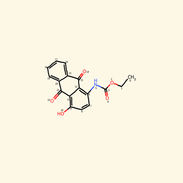 CCOC(=O)Nc1ccc(O)c2c1C(=O)c1ccccc1C2=O